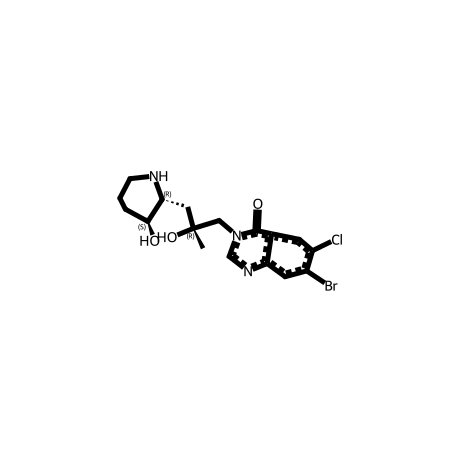 C[C@@](O)(C[C@H]1NCCC[C@@H]1O)Cn1cnc2cc(Br)c(Cl)cc2c1=O